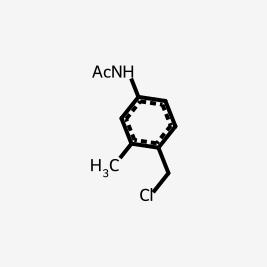 CC(=O)Nc1ccc(CCl)c(C)c1